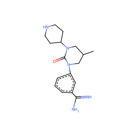 CC1CN(c2cccc(C(=N)N)c2)C(=O)N(C2CCNCC2)C1